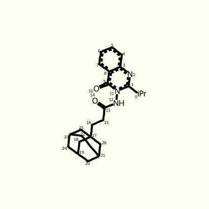 CC(C)c1nc2ccccc2c(=O)n1NC(=O)CCC12CC3CC(CC(C3)C1)C2